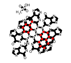 CS(=O)(=O)O.O=C1N=C(NN(C2=NC(=O)C3=NC=NC3=N2)N(C2=NC(=O)C3=NC=NC3=N2)N(C2=NC(=O)C3=NC=NC3=N2)N(C2=NC(=O)C3=NC=NC3=N2)N(C2=NC(=O)C3=NC=NC3=N2)N(C2=NC(=O)C3=NC=NC3=N2)N(C2=NC(=O)C3=NC=NC3=N2)N(Nc2nc3nc[nH]c3c(=O)[nH]2)C2=NC(=O)C3=NC=NC3=N2)N=C2N=CN=C12